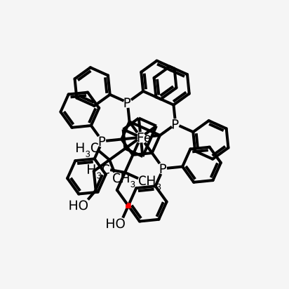 CC(C)(CCO)[C]12[CH]3[CH]4[CH]5[CH]1[Fe]45321678[C]2(P(c3ccccc3)c3ccccc3)[C]1(P(c1ccccc1)c1ccccc1)[C]6(P(c1ccccc1)c1ccccc1)[C]7(C(C)(C)CCO)[C]28P(c1ccccc1)c1ccccc1